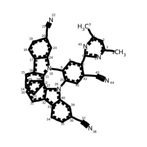 Cc1cc(C)nc(-c2cc(-n3c4ccccc4c4ccc(C#N)cc43)c(-n3c4ccccc4c4ccc(C#N)cc43)cc2C#N)n1